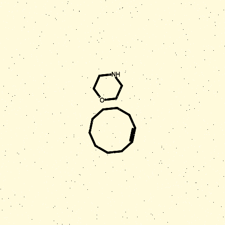 C1=CCCCCCCCC1.C1COCCN1